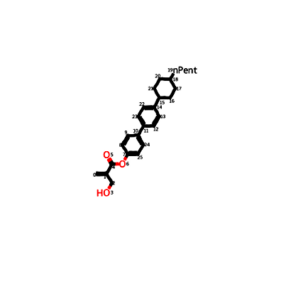 C=C(CO)C(=O)Oc1ccc(-c2ccc(C3CCC(CCCCC)CC3)cc2)cc1